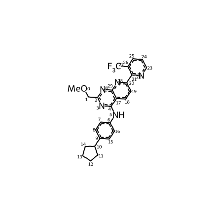 COCc1nc(Nc2ccc(C3CCCC3)cc2)c2ccc(-c3ncccc3C(F)(F)F)nc2n1